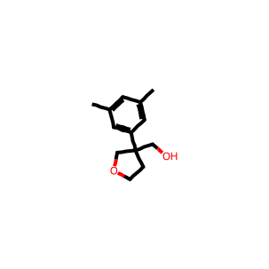 Cc1cc(C)cc(C2(CO)CCOC2)c1